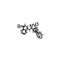 O=C1C=NC(Cc2ccc(Br)c3ccccc23)c2nc(N3CCOCC3)sc21